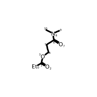 CCC(=O)OCCC(=O)N(C)C